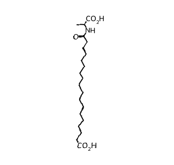 C[C@H](NC(=O)CCCCCCCCCCCCCCCCC(=O)O)C(=O)O